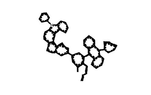 C=C/C=C\c1c(C)cc(-c2ccc3c(ccc4ccc5c(c6ccccc6n5-c5ccccc5)c43)c2)cc1-c1c2ccccc2c(-c2ccccc2)c2ccccc12